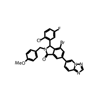 COc1ccc(CN2C(=O)c3cc(-c4ccc5ncnn5c4)cc(Br)c3C2c2cc(F)ccc2Cl)cc1